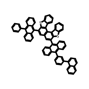 c1ccc(-c2c3ccccc3c(-c3cc4cc(-c5c6ccccc6c(-c6cccc(-c7cccc8ccccc78)c6)c6ccccc56)c5sc6ccccc6c5c4c4c3sc3ccccc34)c3ccccc23)cc1